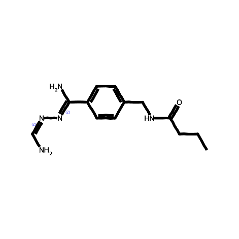 CCCC(=O)NCc1ccc(/C(N)=N/N=C\N)cc1